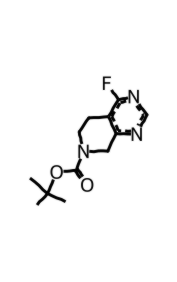 CC(C)(C)OC(=O)N1CCc2c(F)ncnc2C1